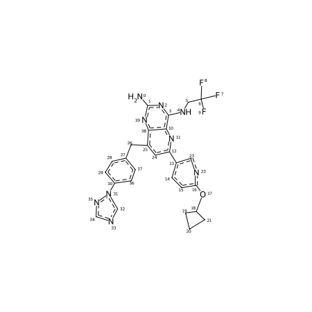 Nc1nc(NCC(F)(F)F)c2nc(-c3ccc(OC4CCC4)nc3)cc(Cc3ccc(-n4cncn4)cc3)c2n1